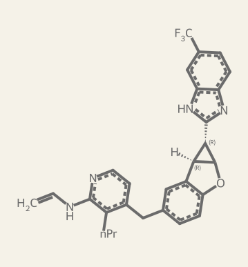 C=CNc1nccc(Cc2ccc3c(c2)[C@@H]2C(O3)[C@H]2c2nc3ccc(C(F)(F)F)cc3[nH]2)c1CCC